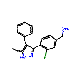 Cc1[nH]nc(-c2ccc(CN)cc2F)c1-c1ccccc1